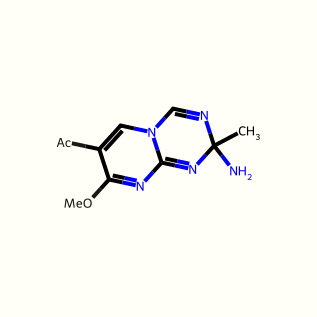 COC1=NC2=NC(C)(N)N=CN2C=C1C(C)=O